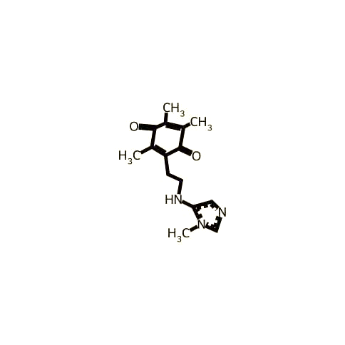 CC1=C(C)C(=O)C(CCNc2cncn2C)=C(C)C1=O